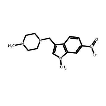 CN1CCN(Cc2cn(C)c3cc([N+](=O)[O-])ccc23)CC1